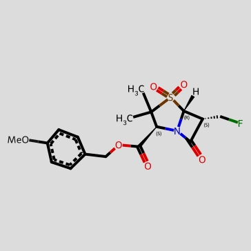 COc1ccc(COC(=O)[C@@H]2N3C(=O)[C@@H](CF)[C@H]3S(=O)(=O)C2(C)C)cc1